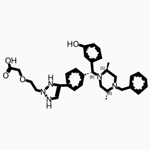 C[C@@H]1CN([C@H](c2ccc(C3=CNN(CCOCC(=O)O)N3)cc2)c2cccc(O)c2)[C@@H](C)CN1Cc1ccccc1